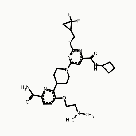 CN(C)CCOc1ccc(C(N)=O)nc1C1CCN(c2cc(C(=O)NC3CCC3)nc(OCC3CC3(F)F)n2)CC1